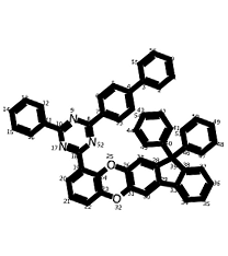 c1ccc(-c2ccc(-c3nc(-c4ccccc4)nc(-c4cccc5c4Oc4cc6c(cc4O5)-c4ccccc4C6(c4ccccc4)c4ccccc4)n3)cc2)cc1